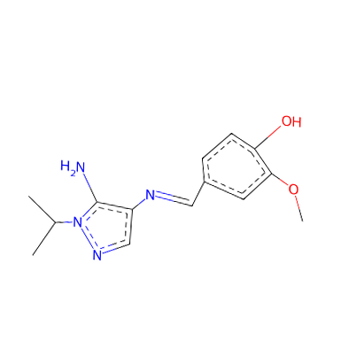 COc1cc(C=Nc2cnn(C(C)C)c2N)ccc1O